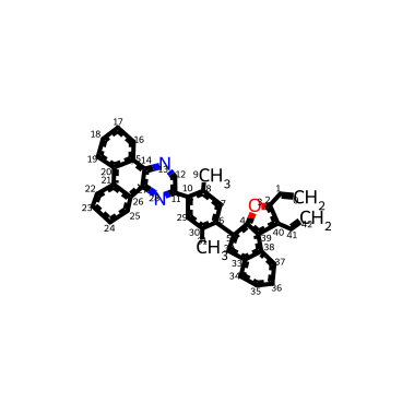 C=Cc1oc2c(-c3cc(C)c(-c4cnc5c6ccccc6c6ccccc6c5n4)cc3C)cc3ccccc3c2c1C=C